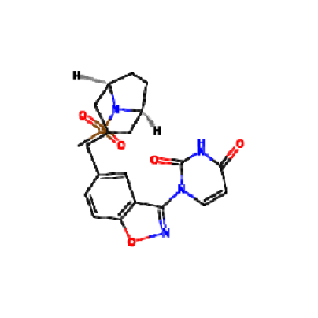 CS(=O)(=O)N1[C@@H]2CC[C@H]1CC(Cc1ccc3onc(-n4ccc(=O)[nH]c4=O)c3c1)C2